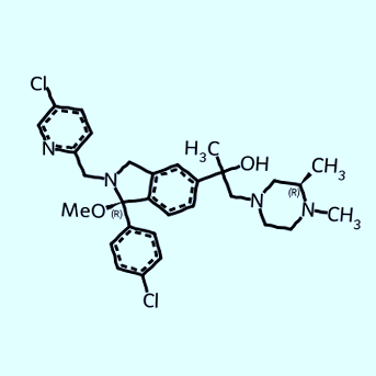 CO[C@]1(c2ccc(Cl)cc2)c2ccc(C(C)(O)CN3CCN(C)[C@H](C)C3)cc2CN1Cc1ccc(Cl)cn1